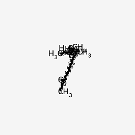 CCCCOC(=O)CCCCCCCCCCCCCC(C(C)C)C(C(=O)OCCCC)C(C)C